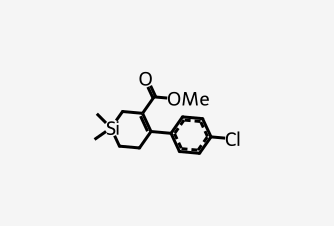 COC(=O)C1=C(c2ccc(Cl)cc2)CC[Si](C)(C)C1